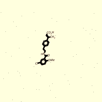 COc1ccc(Cl)cc1C(=O)NCCc1ccc(C(C)=CC(=O)O)cc1